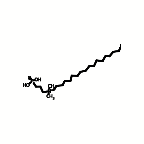 C[N+](C)(CCCCCCCCCCCCCCCCCI)CCCP(=O)(O)O